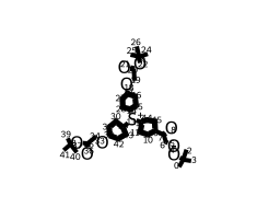 CC(C)(C)OOCC(=O)c1ccc([S+](c2ccc(OCC(=O)OC(C)(C)C)cc2)c2ccc(OCC(=O)OC(C)(C)C)cc2)cc1